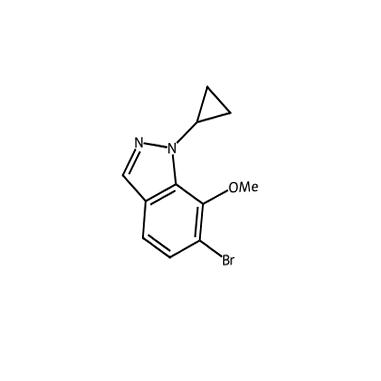 COc1c(Br)ccc2cnn(C3CC3)c12